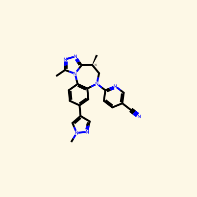 Cc1nnc2n1-c1ccc(-c3cnn(C)c3)cc1N(c1ccc(C#N)cn1)C[C@@H]2C